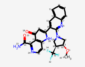 CO[C@@H]1CN(c2nc3ccccc3cc2-c2cc(=O)c3c(C(N)=O)nccc3[nH]2)C[C@@H]1C(F)(F)F